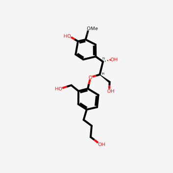 COc1cc([C@H](O)[C@@H](CO)Oc2ccc(CCCO)cc2CO)ccc1O